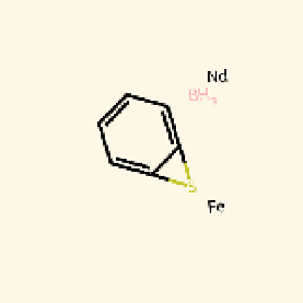 B.[Fe].[Nd].c1ccc2c(c1)S2